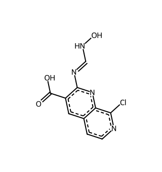 O=C(O)c1cc2ccnc(Cl)c2nc1N=CNO